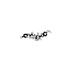 CN1CCc2nc(C(=O)N[C@@H](CNC(=O)C(=O)Nc3ccc(Cl)cn3)C(C)(C)O)sc2C1